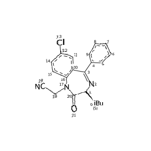 CC[C@H](C)C1N=C(c2ccccc2)c2cc(Cl)ccc2N(CC#N)C1=O